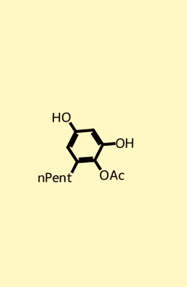 CCCCCc1cc(O)cc(O)c1OC(C)=O